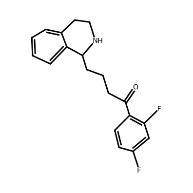 O=C(CCCC1NCCc2ccccc21)c1ccc(F)cc1F